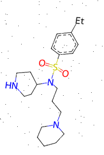 CCc1ccc(S(=O)(=O)N(CCCN2CCCCC2)C2CCNCC2)cc1